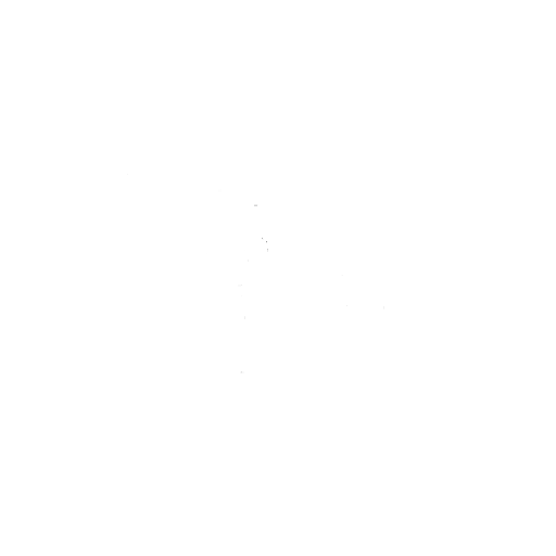 CCCCCCCC[n+]1ccc(CCC)cc1.CS(=O)(=O)O